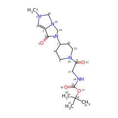 CN1C=C2C(=O)N(C3CCN(C(=O)CNC(=O)OC(C)(C)C)CC3)CN2C1